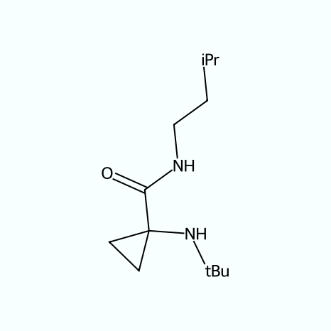 CC(C)CCNC(=O)C1(NC(C)(C)C)CC1